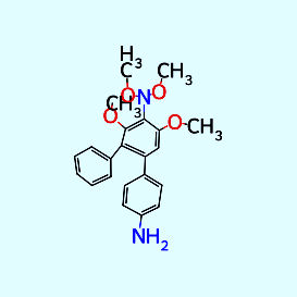 COc1cc(-c2ccc(N)cc2)c(-c2ccccc2)c(OC)c1N(OC)OC